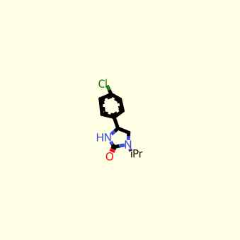 CC(C)N1CC(c2ccc(Cl)cc2)NC1=O